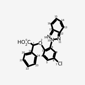 O=C(O)C(Oc1ccc(Cl)cc1-n1nc2ccccc2n1)c1ccccc1